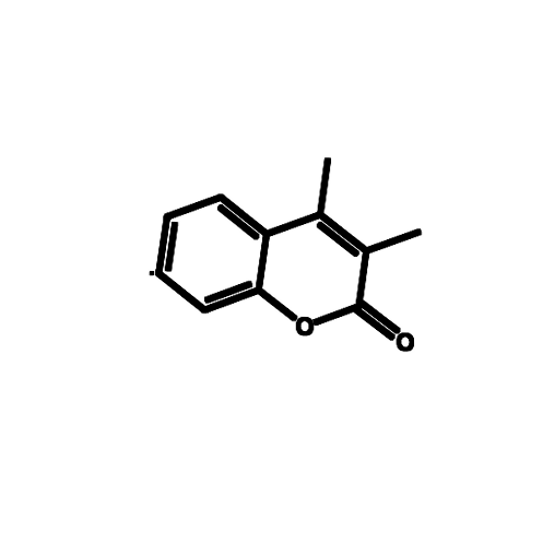 Cc1c(C)c2cc[c]cc2oc1=O